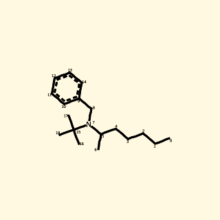 CCCCCC(C)N(Cc1ccccc1)C(C)(C)C